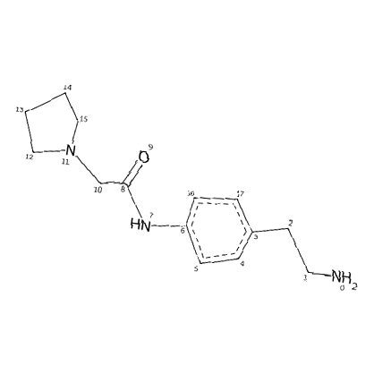 NCCc1ccc(NC(=O)CN2CCCC2)cc1